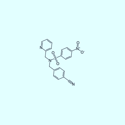 N#Cc1ccc(CN(Cc2ccccn2)S(=O)(=O)c2ccc([N+](=O)[O-])cc2)cc1